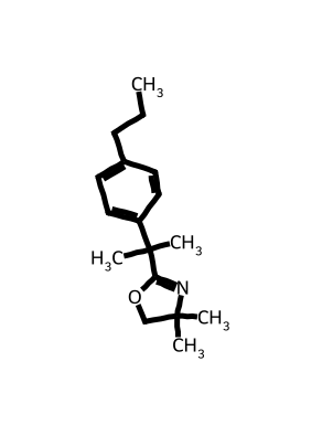 CCCc1ccc(C(C)(C)C2=NC(C)(C)CO2)cc1